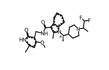 COc1cc(C)[nH]c(=O)c1CNC(=O)c1c(C)n([C@H](C)C2CCN(C(C)C(F)F)CC2)c2ccccc12